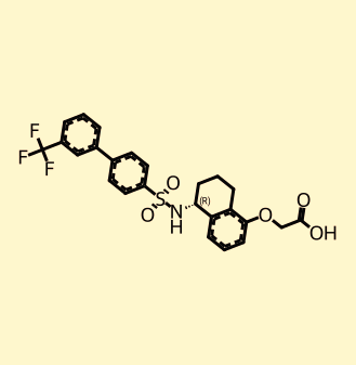 O=C(O)COc1cccc2c1CCC[C@H]2NS(=O)(=O)c1ccc(-c2cccc(C(F)(F)F)c2)cc1